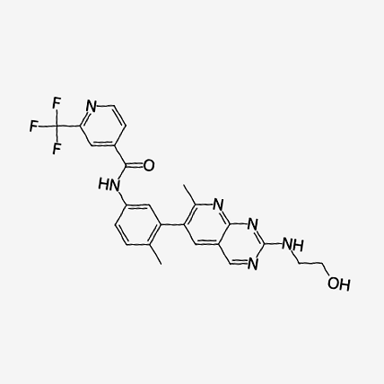 Cc1ccc(NC(=O)c2ccnc(C(F)(F)F)c2)cc1-c1cc2cnc(NCCO)nc2nc1C